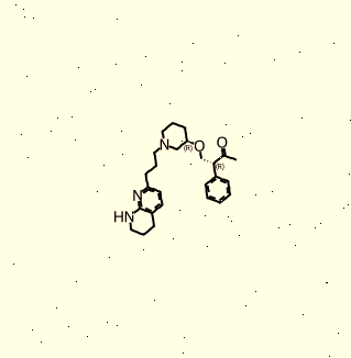 CC(=O)[C@@H](CO[C@@H]1CCCN(CCCc2ccc3c(n2)NCCC3)C1)c1ccccc1